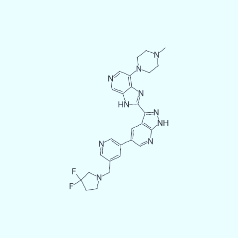 CN1CCN(c2cncc3[nH]c(-c4n[nH]c5ncc(-c6cncc(CN7CCC(F)(F)C7)c6)cc45)nc23)CC1